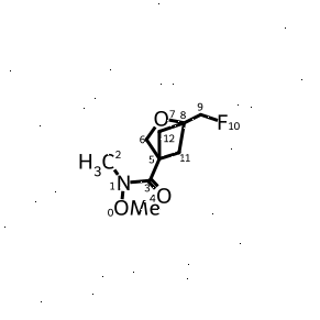 CON(C)C(=O)C12COC(CF)(C1)C2